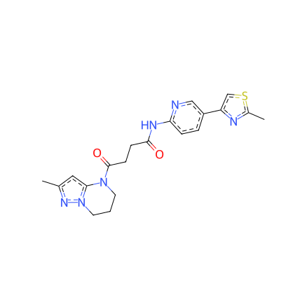 Cc1cc2n(n1)CCCN2C(=O)CCC(=O)Nc1ccc(-c2csc(C)n2)cn1